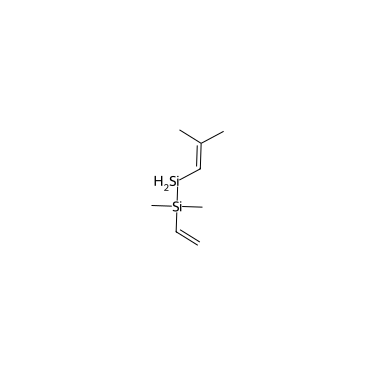 C=C[Si](C)(C)[SiH2]C=C(C)C